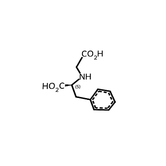 O=C(O)CN[C@@H](Cc1ccccc1)C(=O)O